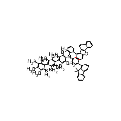 Bc1c(B)c(B)c(-c2c(B)c(B)c(-c3c(B)c(B)c(N(c4ccc(-c5cccc6c5C(C)(C)c5ccccc5-6)cc4)c4ccccc4-c4cccc5oc6c7ccccc7ccc6c45)c(B)c3B)c(B)c2B)c(B)c1B